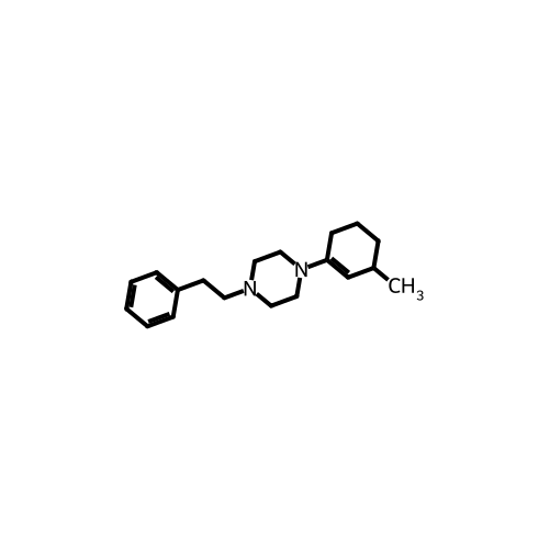 CC1C=C(N2CCN(CCc3ccccc3)CC2)CCC1